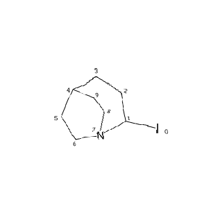 IC1CCC2CCN1CC2